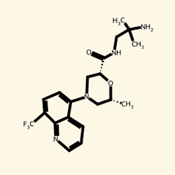 C[C@@H]1CN(c2ccc(C(F)(F)F)c3ncccc23)C[C@H](C(=O)NCC(C)(C)N)O1